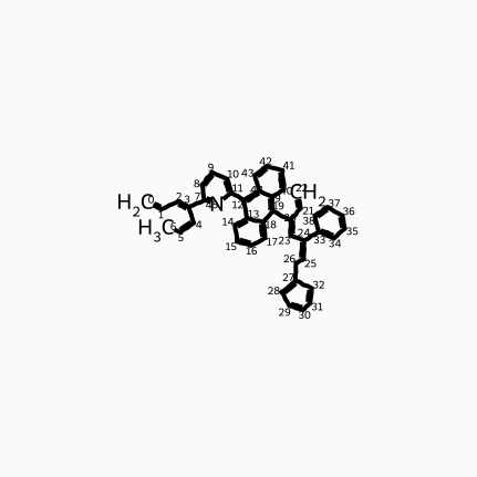 C=C/C=C(\C=C/C)c1cccc(-c2c3ccccc3c(/C(C=C)=C/C(=C\Cc3ccccc3)c3ccccc3)c3ccccc23)n1